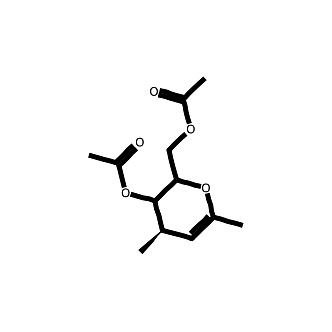 CC(=O)OCC1OC(C)=C[C@@H](C)C1OC(C)=O